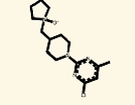 Cc1cc(Cl)nc(N2CCC(C[N+]3([O-])CCCC3)CC2)n1